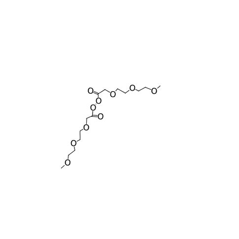 COCCOCCOCC(=O)OOC(=O)COCCOCCOC